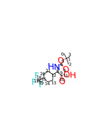 CC(C)(C)OC(=O)NC(C(=O)O)C1CCC(C(F)(F)F)CC1